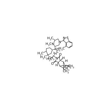 [2H]C(C)([C@H]1[C@H](C(C)[C@@H]2CN(c3nsc4cccc(C)c34)CC(C)N2C)CCC(C)C1(C)C)N1C(=O)[C@@H]2[C@H]3C(C)C(C)C([C@@H]2C1=O)C3(C)C